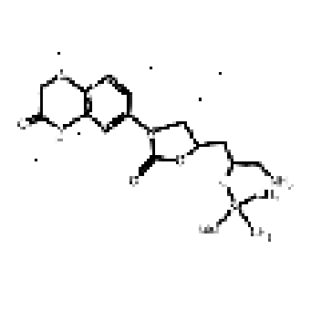 CC(C)(C)[Si](C)(C)OC(CN)CC1CN(c2ccc3c(c2)NC(=O)CS3)C(=O)O1